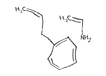 C=CCc1ccccc1.C=CN